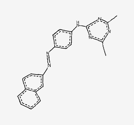 Cc1nc(C)nc(Nc2ccc(/N=N/c3ccc4ccccc4c3)cc2)n1